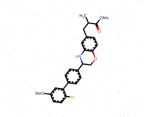 COC(=O)C(C)Cc1ccc2c(c1)NC(c1ccc(-c3cc(OC)ccc3F)cc1)CO2